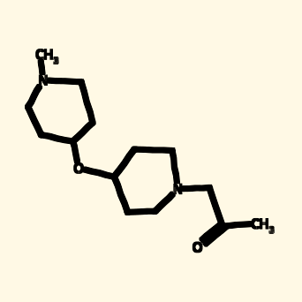 CC(=O)CN1CCC(OC2CCN(C)CC2)CC1